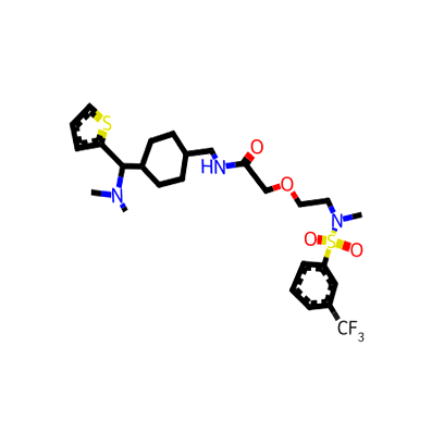 CN(C)C(c1cccs1)C1CCC(CNC(=O)COCCN(C)S(=O)(=O)c2cccc(C(F)(F)F)c2)CC1